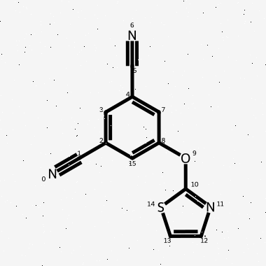 N#Cc1cc(C#N)cc(Oc2n[c]cs2)c1